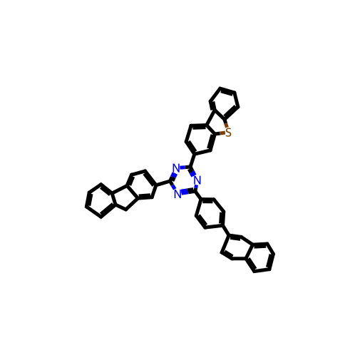 c1ccc2c(c1)Cc1cc(-c3nc(-c4ccc(-c5ccc6ccccc6c5)cc4)nc(-c4ccc5c(c4)sc4ccccc45)n3)ccc1-2